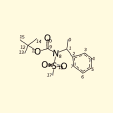 CC(c1ccccc1)N(C(=O)OC(C)(C)C)S(C)(=O)=O